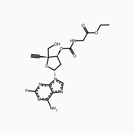 C#C[C@]1(CO)O[C@@H](n2cnc3c(N)nc(F)nc32)C[C@@H]1OC(=O)NCC(=O)OCC